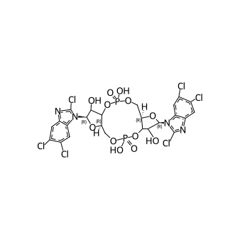 O=P1(O)OC[C@H]2O[C@@H](n3c(Cl)nc4cc(Cl)c(Cl)cc43)C(O)C2OP(=O)(O)OC[C@H]2O[C@@H](n3c(Cl)nc4cc(Cl)c(Cl)cc43)C(O)C2O1